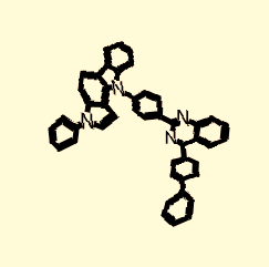 c1ccc(-c2ccc(-c3nc(-c4ccc(-n5c6ccccc6c6ccc7c(ccn7-c7ccccc7)c65)cc4)nc4ccccc34)cc2)cc1